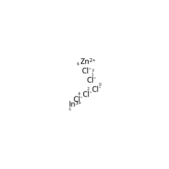 [Cl-].[Cl-].[Cl-].[Cl-].[Cl-].[In+3].[Zn+2]